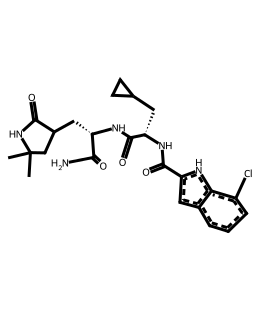 CC1(C)CC(C[C@H](NC(=O)[C@H](CC2CC2)NC(=O)c2cc3cccc(Cl)c3[nH]2)C(N)=O)C(=O)N1